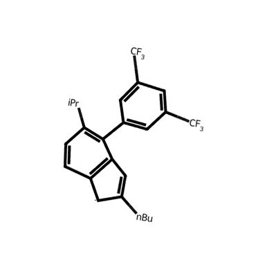 CCCCC1=Cc2c(ccc(C(C)C)c2-c2cc(C(F)(F)F)cc(C(F)(F)F)c2)[CH]1